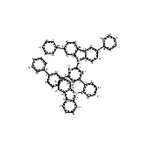 c1ccc(-c2cccc(-c3nc(-c4ccccc4-n4c5ccccc5c5ccccc54)nc(-n4c5ccc(-c6ccccc6)cc5c5ccc(-c6ccccc6)cc54)n3)c2)cc1